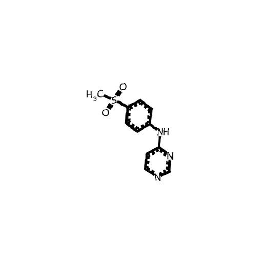 CS(=O)(=O)c1ccc(Nc2ccncn2)cc1